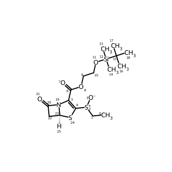 CC[S+]([O-])C1=C(C(=O)OCCO[Si](C)(C)C(C)(C)C)N2C(=O)C[C@@H]2S1